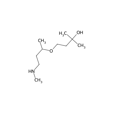 CNCCC(C)OCCC(C)(C)O